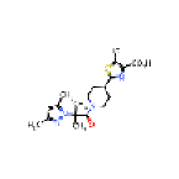 CCc1sc(C2CCN(C(=O)C(C)(C)n3nc(C)cc3C)CC2)nc1C(=O)O